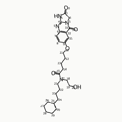 O=C1Cn2c(nc3ccc(OCCCCC(=O)N(CCO)CCCCC4CCCCC4)cc3c2=O)N1